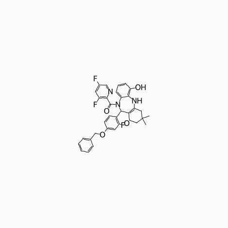 CC1(C)CC(=O)C2=C(C1)Nc1c(O)cccc1N(C(=O)c1ncc(F)cc1F)C2c1ccc(OCc2ccccc2)cc1F